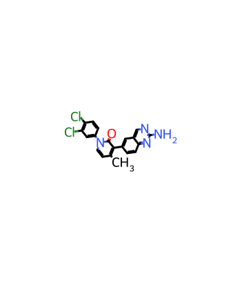 Cc1ccn(-c2ccc(Cl)c(Cl)c2)c(=O)c1-c1ccc2nc(N)ncc2c1